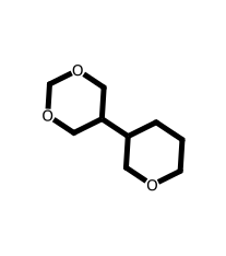 C1COCC(C2COCOC2)C1